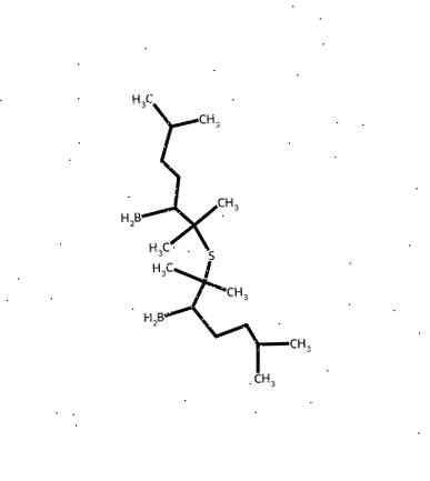 BC(CCC(C)C)C(C)(C)SC(C)(C)C(B)CCC(C)C